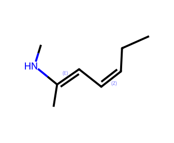 CC/C=C\C=C(/C)NC